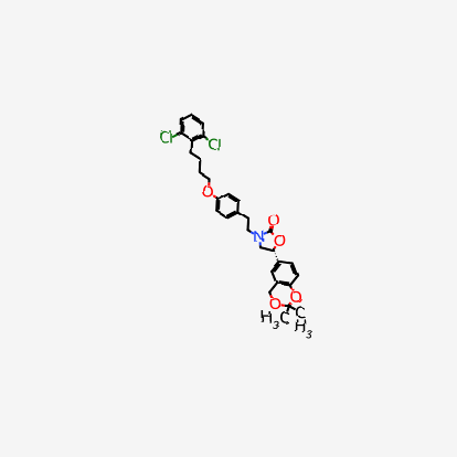 CC1(C)OCc2cc([C@@H]3CN(CCc4ccc(OCCCCc5c(Cl)cccc5Cl)cc4)C(=O)O3)ccc2O1